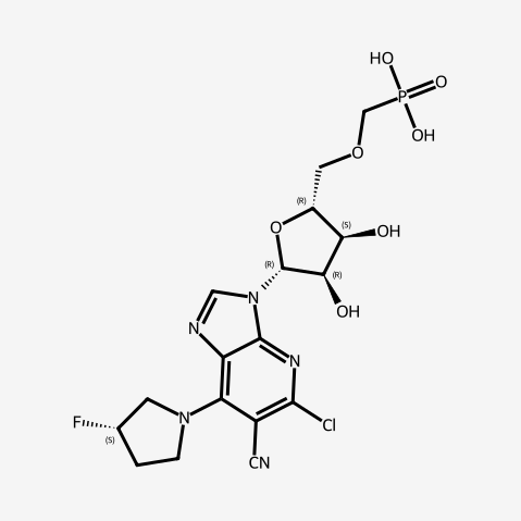 N#Cc1c(Cl)nc2c(ncn2[C@@H]2O[C@H](COCP(=O)(O)O)[C@@H](O)[C@H]2O)c1N1CC[C@H](F)C1